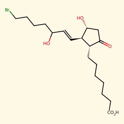 O=C(O)CCCCCC[C@H]1C(=O)C[C@@H](O)[C@@H]1C=CC(O)CCCCBr